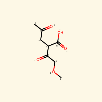 COCC(=O)C(CC(C)=O)C(=O)O